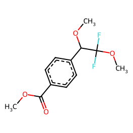 COC(=O)c1ccc(C(OC)C(F)(F)OC)cc1